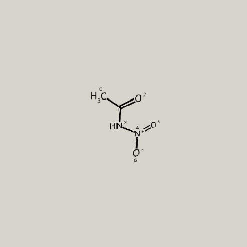 CC(=O)N[N+](=O)[O-]